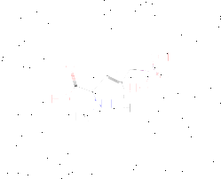 CNC(/C=C(\C)CP(=O)(O)O)C(=O)O